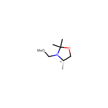 COCN1[C@@H](C)COC1(C)C